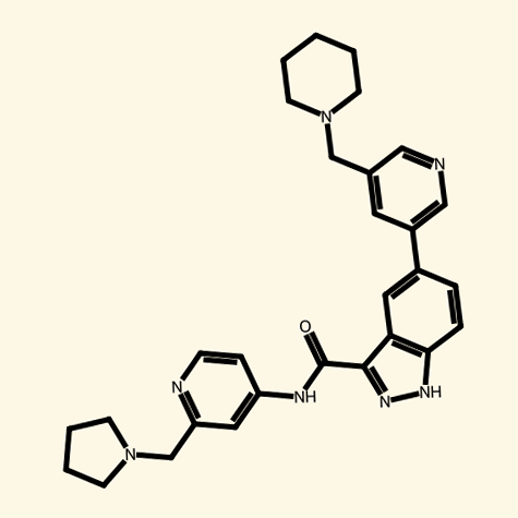 O=C(Nc1ccnc(CN2CCCC2)c1)c1n[nH]c2ccc(-c3cncc(CN4CCCCC4)c3)cc12